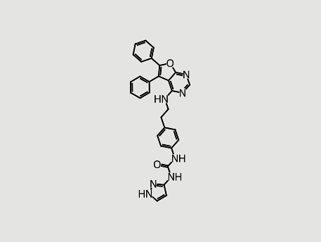 O=C(Nc1ccc(CCNc2ncnc3oc(-c4ccccc4)c(-c4ccccc4)c23)cc1)Nc1cc[nH]n1